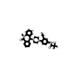 CN1C(=O)c2ccccc2C(N2CCN(c3ccc(NC(=O)C(C)(C)C)cc3C#N)CC2)c2ccccc21